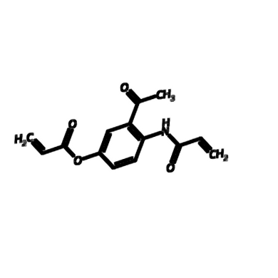 C=CC(=O)Nc1ccc(OC(=O)C=C)cc1C(C)=O